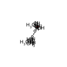 CC(C)(C)OC(=O)N1CC(F)(F)C[C@H]1c1nc2cc(C#Cc3ccc(-c4c[nH]c([C@@]5(O)CCCN5C(=O)OC(C)(C)C)n4)cc3)ccc2[nH]1